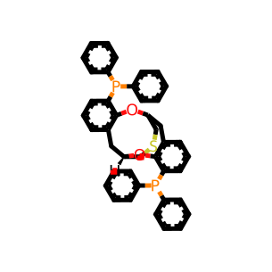 c1ccc(P(c2ccccc2)c2cccc3c2OC2CSC[C@H](C3)Oc3c(cccc3P(c3ccccc3)c3ccccc3)C2)cc1